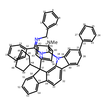 CNC(N/C(=N\Cc1ccccc1)c1ccccc1)n1c2cc(-c3ccccc3)ccc2c2ccc3c(c21)C(c1ccccc1)(C1CC=CCC1)c1ccccc1-3